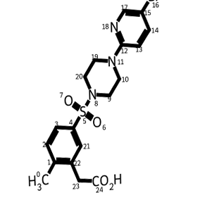 Cc1ccc(S(=O)(=O)N2CCN(c3ccc(Br)cn3)CC2)cc1CC(=O)O